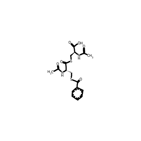 CC(=O)N[C@@H](CSC(=O)[C@H](CSC(=O)c1ccccc1)NC(C)=O)C(=O)O